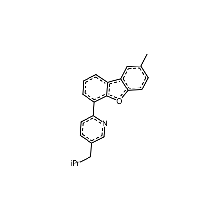 Cc1ccc2oc3c(-c4ccc(CC(C)C)cn4)cccc3c2c1